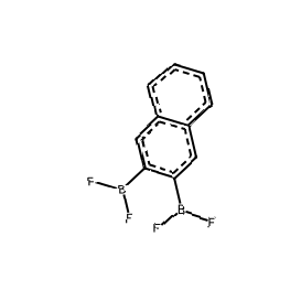 FB(F)c1cc2ccccc2cc1B(F)F